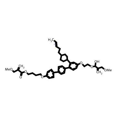 C=C(COC)C(=O)OCCCCOc1ccc(-c2ccc(-c3ccc(OCCOC(O)C(=C)COC)cc3C3CCC(CC/C=C/C)CC3)cc2)cc1